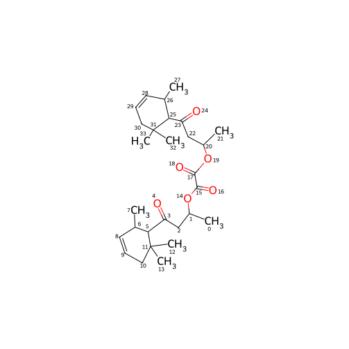 CC(CC(=O)C1C(C)C=CCC1(C)C)OC(=O)C(=O)OC(C)CC(=O)C1C(C)C=CCC1(C)C